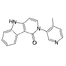 Cc1ccncc1-n1ccc2[nH]c3ccccc3c2c1=O